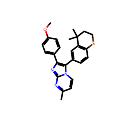 COc1ccc(-c2nc3nc(C)ccn3c2-c2ccc3c(c2)C(C)(C)CCS3)cc1